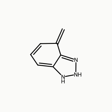 C=c1cccc2c1=NNN2